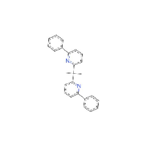 CC(C)(c1cccc(-c2ccccc2)n1)c1cccc(-c2ccccc2)n1